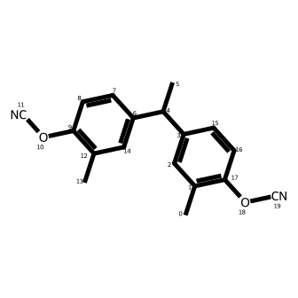 Cc1cc(C(C)c2ccc(OC#N)c(C)c2)ccc1OC#N